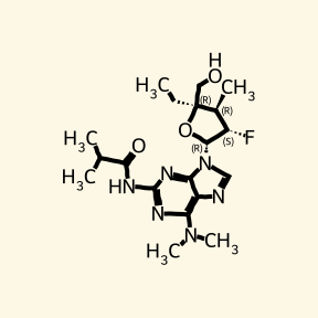 CC[C@@]1(CO)O[C@@H](n2cnc3c(N(C)C)nc(NC(=O)C(C)C)nc32)[C@@H](F)[C@@H]1C